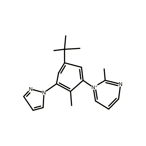 Cc1c(-n2cccn2)cc(C(C)(C)C)cc1-[n+]1cccnc1C